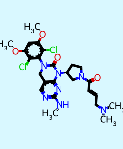 CNc1ncc2c(n1)N([C@H]1CCN(C(=O)/C=C/CN(C)C)C1)C(=O)N(c1c(Cl)c(OC)cc(OC)c1Cl)C2